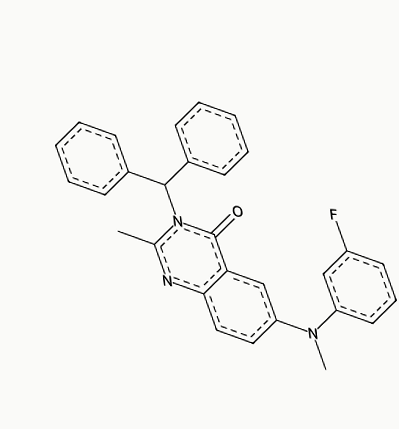 Cc1nc2ccc(N(C)c3cccc(F)c3)cc2c(=O)n1C(c1ccccc1)c1ccccc1